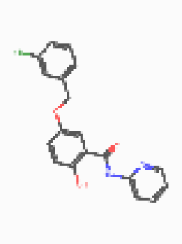 O=C(Nc1ccccn1)c1cc(OCc2cccc(Cl)c2)ccc1O